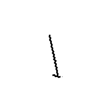 [CH2]CC(CCC)CCCCCCCCCCCCCCCCCCCCCCCCC